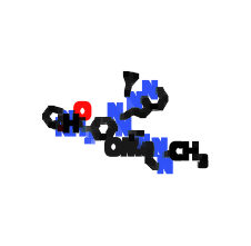 COc1cc(CC(=O)N2CC3CCC2[C@@H]3N)cc2nc(-c3cc4cccnc4n3CC3CC3)n(C3CN(c4ccnc(C)n4)C3)c12